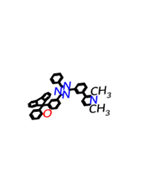 Cc1ccc(-c2cccc(-c3nc(-c4ccccc4)nc(-c4ccc5c(c4)C4(c6ccccc6O5)c5ccccc5-c5ccccc54)n3)c2)c(C)n1